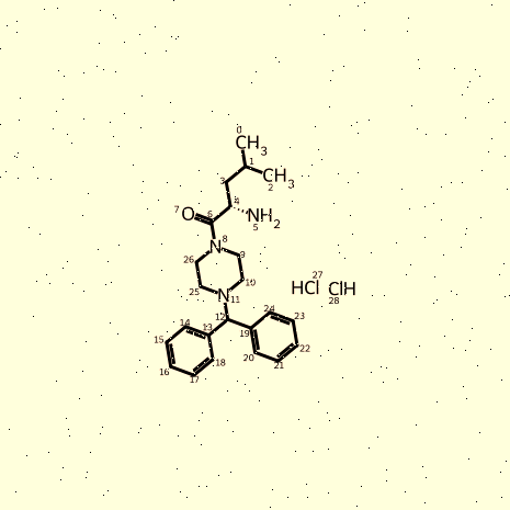 CC(C)C[C@H](N)C(=O)N1CCN(C(c2ccccc2)c2ccccc2)CC1.Cl.Cl